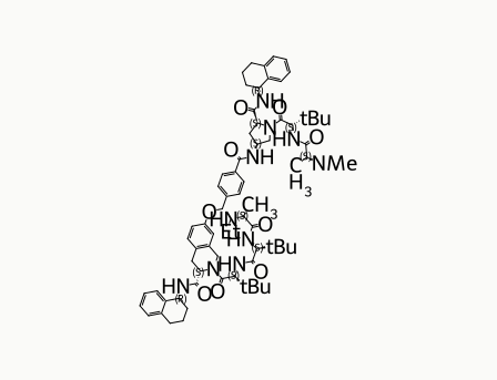 CCN[C@@H](C)C(=O)N[C@H](C(=O)N[C@H](C(=O)N1Cc2cc(OCc3ccc(C(=O)N[C@H]4C[C@@H](C(=O)N[C@@H]5CCCc6ccccc65)N(C(=O)[C@@H](NC(=O)[C@H](C)NC)C(C)(C)C)C4)cc3)ccc2C[C@H]1C(=O)N[C@@H]1CCCc2ccccc21)C(C)(C)C)C(C)(C)C